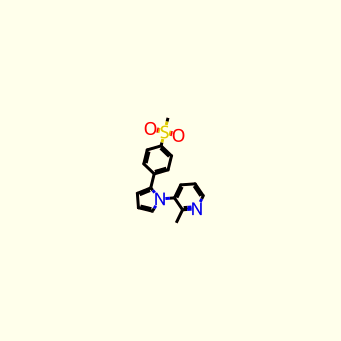 Cc1ncccc1-n1cccc1-c1ccc(S(C)(=O)=O)cc1